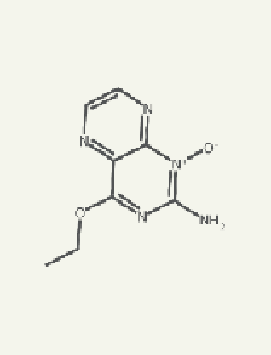 CCOc1nc(N)[n+]([O-])c2nccnc12